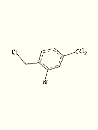 ClCc1ccc(C(Cl)(Cl)Cl)cc1Br